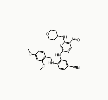 COc1ccc(CNc2ccc(C#N)cc2Nc2ncc(N=O)c(NC3CCOCC3)n2)c(OC)c1